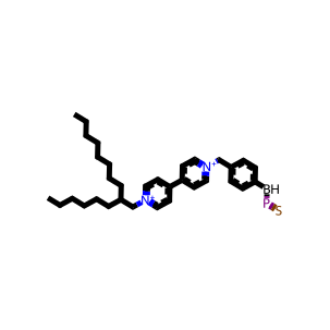 CCCCCCCCC(CCCCCC)C[n+]1ccc(-c2cc[n+](Cc3ccc(BP=S)cc3)cc2)cc1